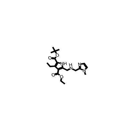 CCOC(=O)c1c(CNCc2nccn2C)[nH]c(C(=O)OC(C)(C)C)c1CC